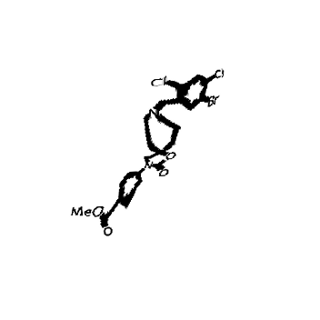 COC(=O)c1ccc(N2CC3(CCN(Cc4cc(Br)c(Cl)cc4Cl)CC3)OC2=O)cc1